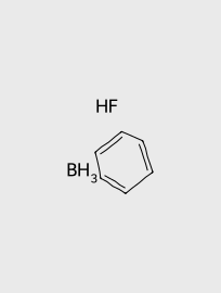 B.F.c1ccccc1